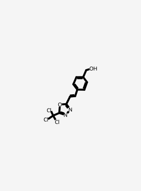 OCc1ccc(C=Cc2nnc(C(Cl)(Cl)Cl)o2)cc1